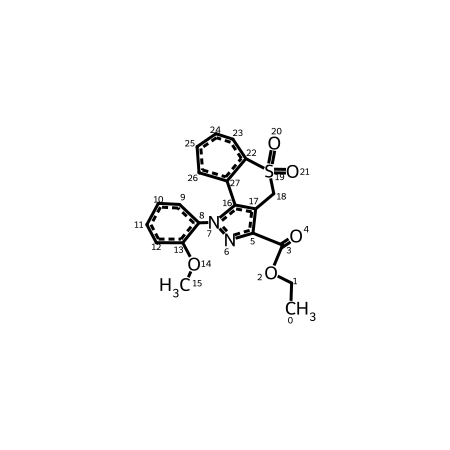 CCOC(=O)c1nn(-c2ccccc2OC)c2c1CS(=O)(=O)c1ccccc1-2